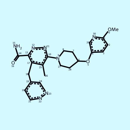 COc1ccc(OC2CCN(c3nnc(C(N)=O)c(Cc4ccnnc4)c3C)CC2)cn1